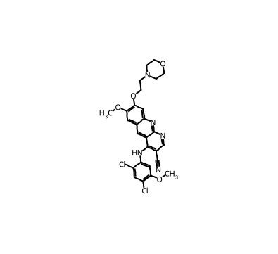 COc1cc(Nc2c(C#N)cnc3nc4cc(OCCN5CCOCC5)c(OC)cc4cc23)c(Cl)cc1Cl